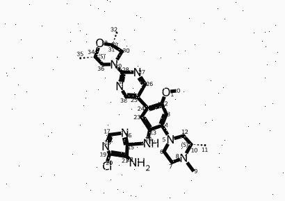 COc1cc(N2CCN(C)[C@@H](C)C2)c(Nc2ncnc(Cl)c2N)cc1-c1cnc(N2C[C@@H](C)O[C@@H](C)C2)nc1